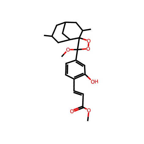 COC(=O)/C=C/c1ccc(C2(OC)OOC23C(C)CC2CC(C)CC3C2)cc1O